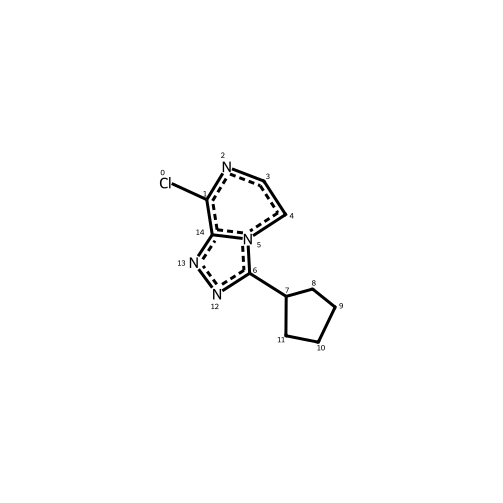 Clc1nccn2c(C3CCCC3)nnc12